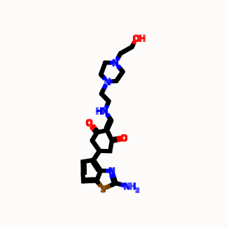 Nc1nc2c(C3CC(=O)C(=CNCCN4CCN(CCO)CC4)C(=O)C3)cccc2s1